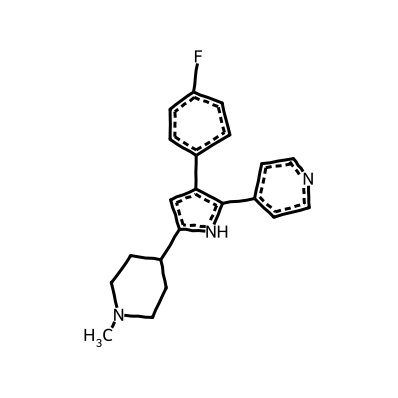 CN1CCC(c2cc(-c3ccc(F)cc3)c(-c3ccncc3)[nH]2)CC1